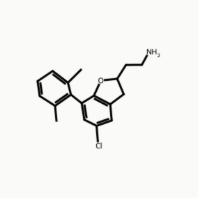 Cc1cccc(C)c1-c1cc(Cl)cc2c1OC(CCN)C2